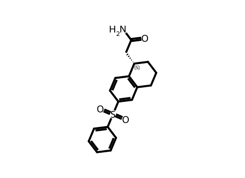 NC(=O)C[C@@H]1CCCc2cc(S(=O)(=O)c3ccccc3)ccc21